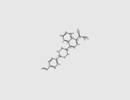 C=Cc1ccc(N2CCN(c3ccc(C(N)=O)c4ncncc34)CC2)cc1